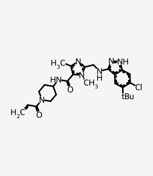 C=CC(=O)N1CCC(NC(=O)c2c(C)nc(CNc3n[nH]c4cc(Cl)c(C(C)(C)C)cc34)n2C)CC1